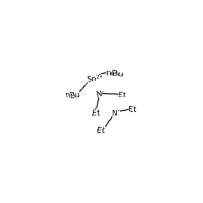 CCC[CH2][Sn+2][CH2]CCC.CC[N-]CC.CC[N-]CC